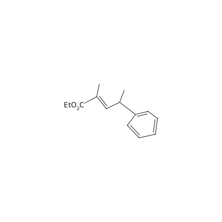 CCOC(=O)C(C)=CC(C)c1ccccc1